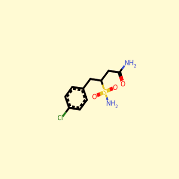 NC(=O)CC(Cc1ccc(Cl)cc1)S(N)(=O)=O